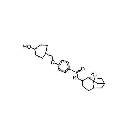 O=C(NC1CCC2CC3CC1[C@H](C2)C3)c1ccc(OCC2CCC(O)CC2)cc1